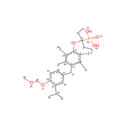 CCC(CC)(Oc1c(I)c(C)c(Cc2ccc(OCOC)c(C(C)C)c2)c(C)c1I)P(=O)(O)O